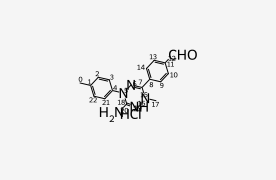 Cc1ccc(N(N=C(c2ccc(C=O)cc2)N(C)C)C(=N)N)cc1.Cl